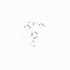 COc1c(Nc2nc(Nc3cc(C)on3)ncc2C(N)=O)cccc1-c1ncn(C)n1